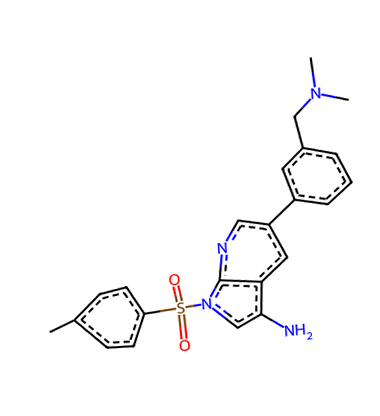 Cc1ccc(S(=O)(=O)n2cc(N)c3cc(-c4cccc(CN(C)C)c4)cnc32)cc1